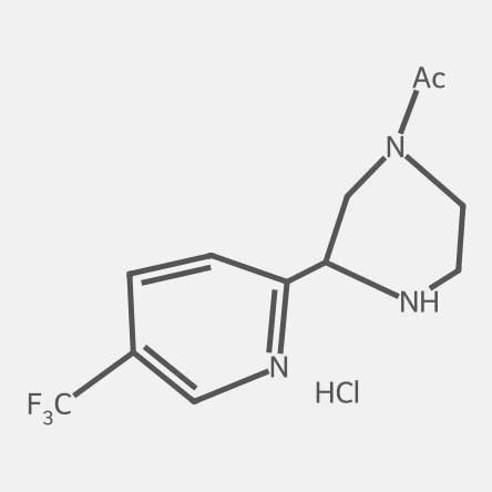 CC(=O)N1CCNC(c2ccc(C(F)(F)F)cn2)C1.Cl